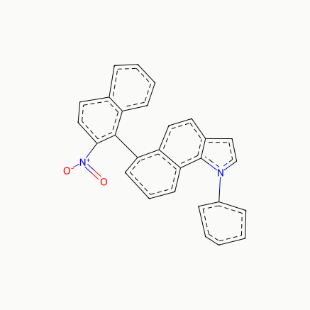 O=[N+]([O-])c1ccc2ccccc2c1-c1cccc2c1ccc1ccn(-c3ccccc3)c12